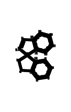 C1=NC2(CCc3ccccc32)c2ccccc21